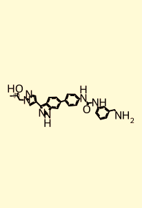 C[C@@H](O)Cn1cc(-c2n[nH]c3cc(-c4ccc(NC(=O)Nc5cccc(CN)c5)cc4)ccc23)cn1